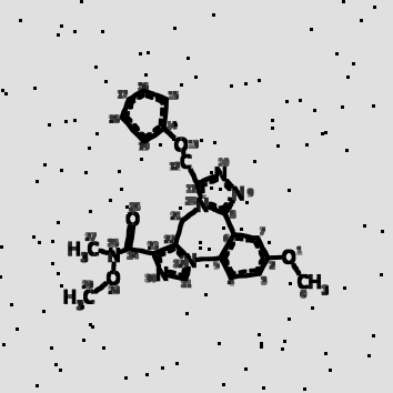 COc1ccc2c(c1)-c1nnc(COc3ccccc3)n1Cc1c(C(=O)N(C)OC)ncn1-2